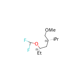 CC[C@@H](C[C@H](COC)C(C)C)OC(F)F